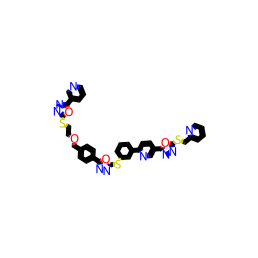 c1ccc(CSc2nnc(-c3ccc(C4CCCC(Sc5nnc(-c6ccc(COCCSc7nnc(-c8cccnc8)o7)cc6)o5)C4)nc3)o2)nc1